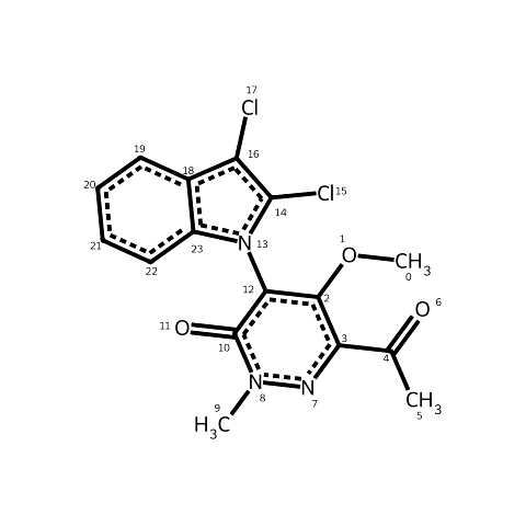 COc1c(C(C)=O)nn(C)c(=O)c1-n1c(Cl)c(Cl)c2ccccc21